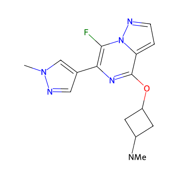 CNC1CC(Oc2nc(-c3cnn(C)c3)c(F)n3nccc23)C1